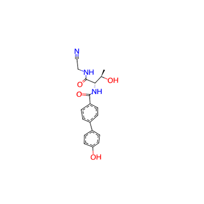 C[C@@H](O)[C@H](NC(=O)c1ccc(-c2ccc(O)cc2)cc1)C(=O)NCC#N